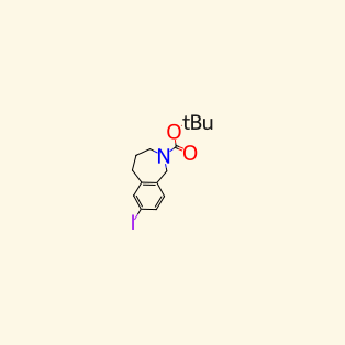 CC(C)(C)OC(=O)N1CCCc2cc(I)ccc2C1